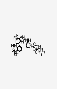 CC(C)(C)OC(=O)N1CCC[C@H](Nc2ncc(C(F)(F)F)c(-c3c[nH]c4c([N+](=O)[O-])cccc34)n2)C1